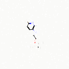 CC(C)(C)[Si](C)(C)OCCNc1ccc(Br)nc1